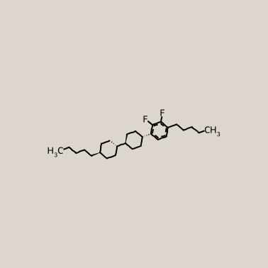 CCCCCc1ccc([C@H]2CC[C@H]([C@H]3CC[C@H](CCCCC)CC3)CC2)c(F)c1F